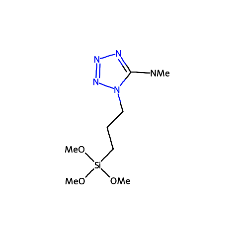 CNc1nnnn1CCC[Si](OC)(OC)OC